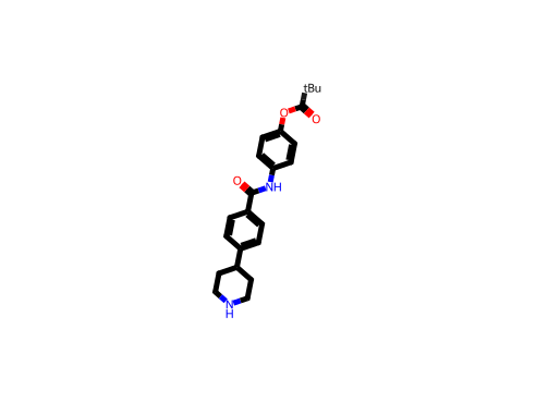 CC(C)(C)C(=O)Oc1ccc(NC(=O)c2ccc(C3CCNCC3)cc2)cc1